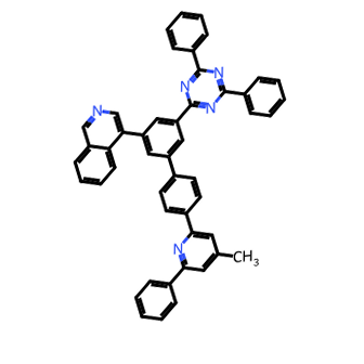 Cc1cc(-c2ccccc2)nc(-c2ccc(-c3cc(-c4nc(-c5ccccc5)nc(-c5ccccc5)n4)cc(-c4cncc5ccccc45)c3)cc2)c1